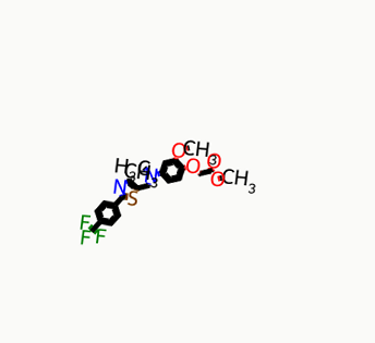 COC(=O)COc1ccc(N(C)Cc2sc(-c3ccc(C(F)(F)F)cc3)nc2C)cc1OC